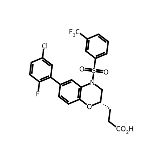 O=C(O)CC[C@H]1CN(S(=O)(=O)c2cccc(C(F)(F)F)c2)c2cc(-c3cc(Cl)ccc3F)ccc2O1